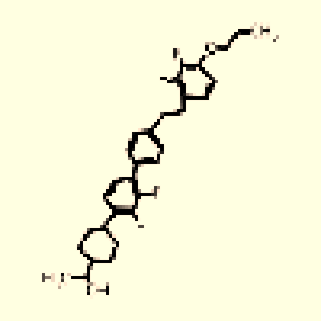 C=CCOc1ccc(CCc2ccc(-c3ccc(C4CCC(C(C)O)CC4)c(F)c3F)cc2)c(F)c1F